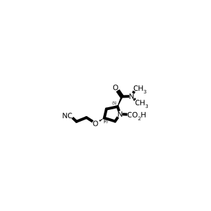 CN(C)C(=O)[C@@H]1C[C@@H](OCCC#N)CN1C(=O)O